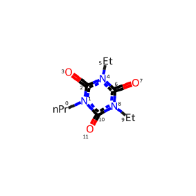 CCCn1c(=O)n(CC)c(=O)n(CC)c1=O